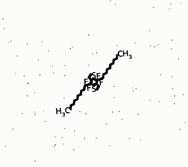 CCCCCCCCCCCC(F)(F)c1c2ccsc2c(C(F)(F)CCCCCCCCCCC)c2ccsc12